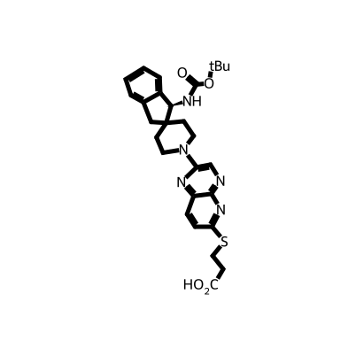 CC(C)(C)OC(=O)N[C@@H]1c2ccccc2CC12CCN(c1cnc3nc(SCCC(=O)O)ccc3n1)CC2